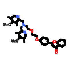 COc1c(C)cnc(CN(CCOCCOc2ccc(-c3cc(=O)c4ccccc4o3)cc2)Cc2ncc(C)c(OC)c2C)c1C